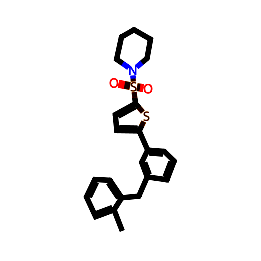 Cc1ccccc1Cc1cccc(-c2ccc(S(=O)(=O)N3CCCCC3)s2)c1